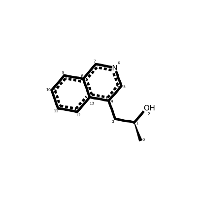 C[C@H](O)Cc1cncc2ccccc12